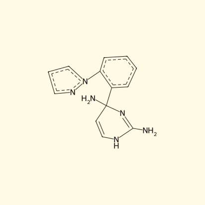 NC1=NC(N)(c2ccccc2-n2cccn2)C=CN1